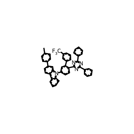 Cc1ccc(-c2ccc3c4ccccc4n(-c4ccc(-c5nc(-c6ccccc6)nc(-c6ccccc6)n5)c(-c5cccc(C(F)(F)F)c5)c4)c3c2)cc1